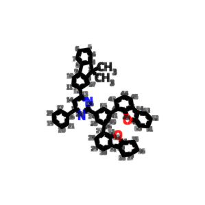 CC1(C)c2ccccc2-c2ccc(-c3cc(-c4ccccc4)nc(-c4cc(-c5cccc6c5oc5ccccc56)cc(-c5cccc6c5oc5ccccc56)c4)n3)cc21